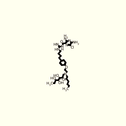 CCCCCCN(CCOc1ccc(CCCCNC(=N)NC(=O)c2nc(Cl)c(N)nc2N)cc1)C[C@@H](O)[C@H](O)[C@H](O)[C@@H](O)CC